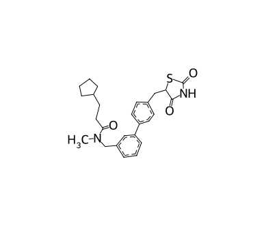 CN(Cc1cccc(-c2ccc(CC3SC(=O)NC3=O)cc2)c1)C(=O)CCC1CCCC1